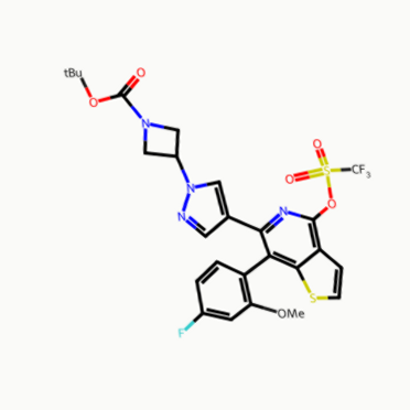 COc1cc(F)ccc1-c1c(-c2cnn(C3CN(C(=O)OC(C)(C)C)C3)c2)nc(OS(=O)(=O)C(F)(F)F)c2ccsc12